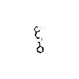 C(=C1\CCNC1)/c1noc(-c2ccccc2)n1